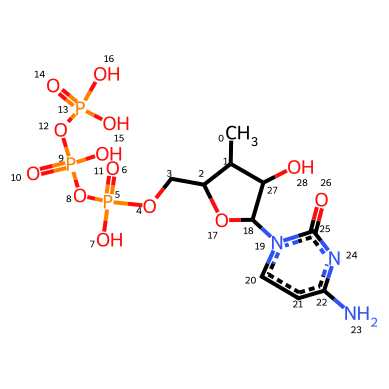 CC1C(COP(=O)(O)OP(=O)(O)OP(=O)(O)O)OC(n2ccc(N)nc2=O)C1O